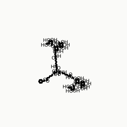 O=C(CCCCCNC(=O)CN(CC(=O)NCCCCCC(=O)NCCOC1OC(COC2OC(CO)C(O)C(O)C2O)C(O)C(OC2OC(CO)C(O)C(O)C2O)C1O)CC(=O)NCCCCCC(=O)OCc1ccccc1)NCCOC1OC(COC2OC(CO)C(O)C(O)C2O)C(O)C(OC2OC(CO)C(O)C(O)C2O)C1O